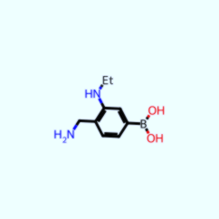 CCNc1cc(B(O)O)ccc1CN